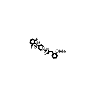 COc1ccccc1Cc1csc(N2CCC(S(=O)(=O)c3c(F)cccc3F)CC2)n1